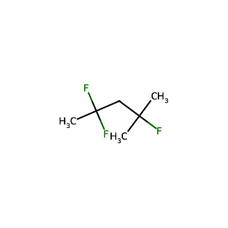 CC(C)(F)CC(C)(F)F